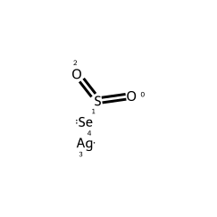 O=S=O.[Ag].[Se]